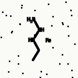 BBBCC.[Fe]